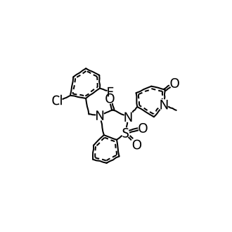 Cn1cc(N2C(=O)N(Cc3c(F)cccc3Cl)c3ccccc3S2(=O)=O)ccc1=O